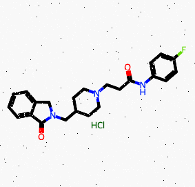 Cl.O=C(CCN1CCC(CN2Cc3ccccc3C2=O)CC1)Nc1ccc(F)cc1